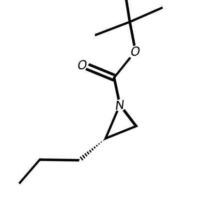 CCC[C@H]1CN1C(=O)OC(C)(C)C